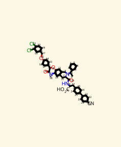 CC(c1ccccc1)N1Cc2cc3c(cc2CC1C(=O)N[C@@H](Cc1ccc(-c2ccc(C#N)cc2)cc1)C(=O)O)N(C)C(=O)C(c1ccc(OCc2ccc(Cl)c(Cl)c2)cc1)O3